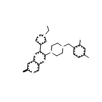 O=c1cc2nc(-c3cnn(CF)c3)c(N3CCN(Cc4ccc(F)cc4F)CC3)nc2c[nH]1